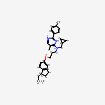 CCc1ccc(-c2ncc(C)c(N(CCCOc3ccc4c(c3)CC[C@H]4CC(=O)O)CC3CC3)n2)cc1